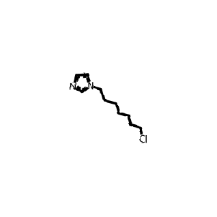 ClCCCCCCCn1ccnc1